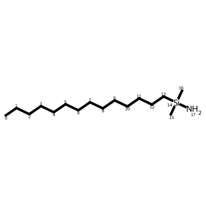 CCCCCCCCCCCCCC[Si](C)(C)N